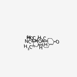 C[C@H]1C[C@H]2[C@@H]3CCC4=CC(=O)CC[C@]4(C)[C@@]3(O)CC[C@]2(C)[C@]1(O)C#N